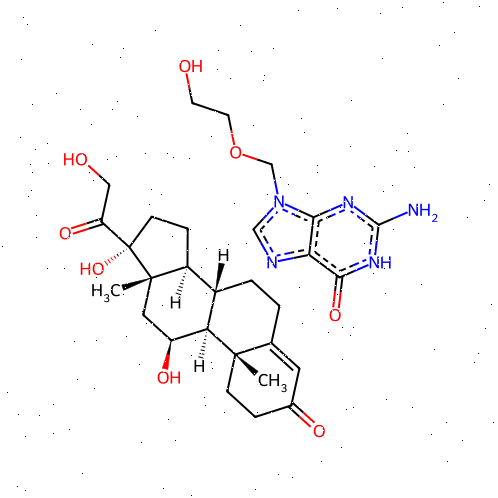 C[C@]12CCC(=O)C=C1CC[C@@H]1[C@@H]2[C@@H](O)C[C@@]2(C)[C@H]1CC[C@]2(O)C(=O)CO.Nc1nc2c(ncn2COCCO)c(=O)[nH]1